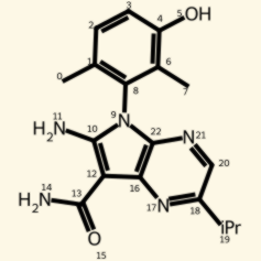 Cc1ccc(O)c(C)c1-n1c(N)c(C(N)=O)c2nc(C(C)C)cnc21